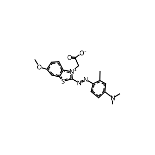 COc1ccc2c(c1)sc(/N=N/c1ccc(N(C)C)cc1C)[n+]2CC(=O)[O-]